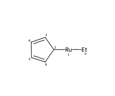 C[CH2][Ru][CH]1C=CC=C1